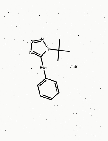 Br.CC(C)(C)n1nnn[c]1[Mg][c]1ccccc1